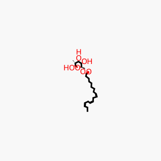 CC/C=C\C/C=C\C/C=C\CCCCCCCC(=O)OC[C@H]1OC(O)[C@H](C)[C@@H](O)[C@H]1O